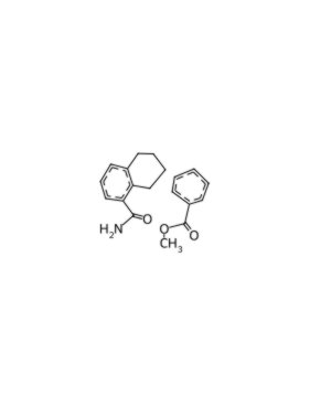 COC(=O)c1ccccc1.NC(=O)c1cccc2c1CCCC2